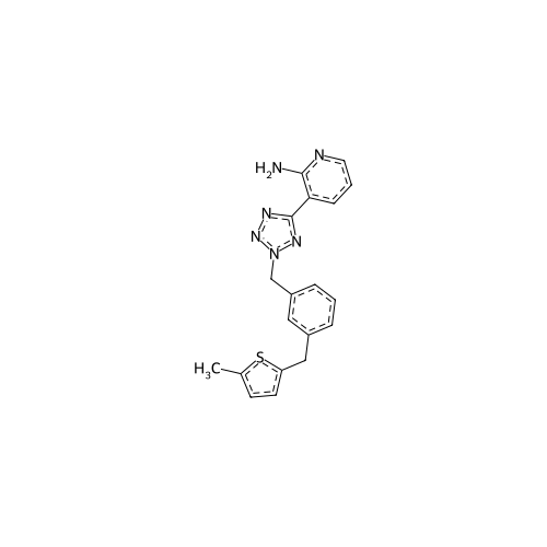 Cc1ccc(Cc2cccc(Cn3nnc(-c4cccnc4N)n3)c2)s1